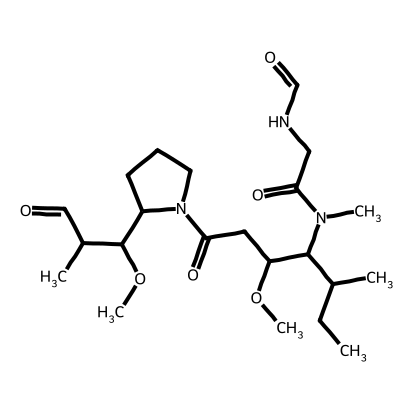 CCC(C)C(C(CC(=O)N1CCCC1C(OC)C(C)C=O)OC)N(C)C(=O)CNC=O